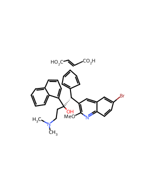 COc1nc2ccc(Br)cc2cc1[C@@H](c1ccccc1)C(O)(CCN(C)C)c1cccc2ccccc12.O=C(O)/C=C/C(=O)O